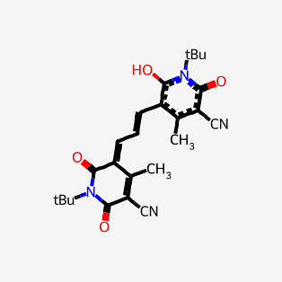 CC1=C(C#N)C(=O)N(C(C)(C)C)C(=O)C1=CC=Cc1c(C)c(C#N)c(=O)n(C(C)(C)C)c1O